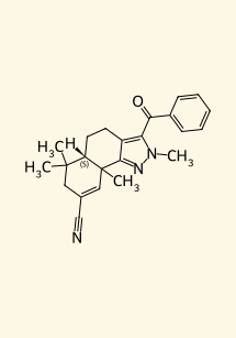 Cn1nc2c(c1C(=O)c1ccccc1)CC[C@H]1C(C)(C)CC(C#N)=CC21C